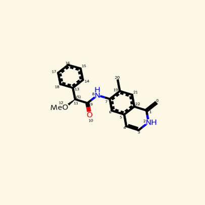 C=C1NC=Cc2cc(NC(=O)[C@@H](OC)c3ccccc3)c(C)cc21